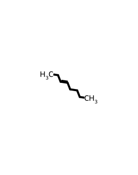 CCC=CCCCC